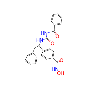 O=C(NC(=O)c1ccccc1)NC(Cc1ccccc1)c1ccc(C(=O)NO)cc1